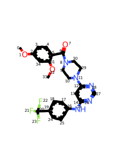 COc1ccc(C(=O)N2CCN(c3cc(Nc4ccc(C(F)(F)F)cc4)ncn3)CC2)c(OC)c1